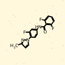 Cc1ccn(-c2ccc(NC(=O)c3c(F)cccc3F)cc2F)n1